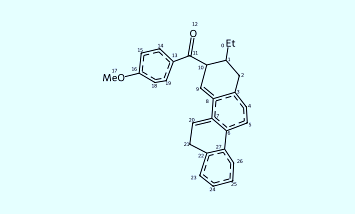 CCC1Cc2ccc3c(c2=CC1C(=O)c1ccc(OC)cc1)=CCc1ccccc1-3